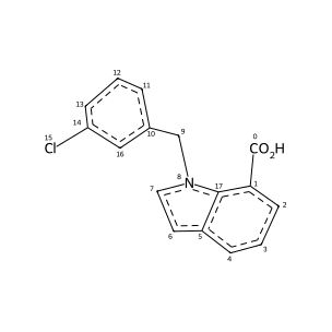 O=C(O)c1cccc2ccn(Cc3cccc(Cl)c3)c12